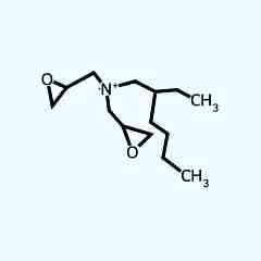 CCCCC(CC)C[N+](CC1CO1)CC1CO1